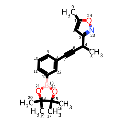 Cc1cc(C(C)C#Cc2cccc(B3OC(C)(C)C(C)(C)O3)c2)no1